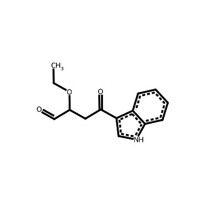 CCOC(C=O)CC(=O)c1c[nH]c2ccccc12